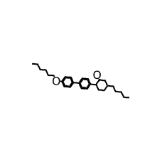 CCCCCCOc1ccc(-c2ccc(C3CCC(CCCCC)CC3=O)cc2)cc1